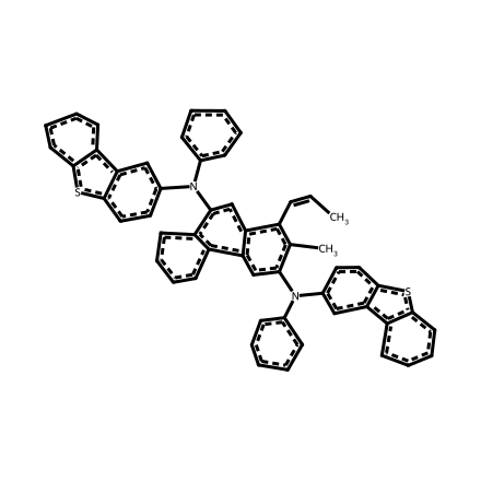 C/C=C\c1c(C)c(N(c2ccccc2)c2ccc3sc4ccccc4c3c2)cc2c1cc(N(c1ccccc1)c1ccc3sc4ccccc4c3c1)c1ccccc12